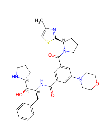 Cc1csc([C@H]2CCCN2C(=O)c2cc(C(=O)N[C@@H](Cc3ccccc3)[C@@H](O)[C@H]3CCCN3)cc(N3CCOCC3)c2)n1